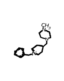 CN1CCN(CC2CCN(Cc3ccccc3)CC2)CC1